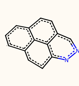 [c]1ccc2ccc3cnnc4ccc1c2c34